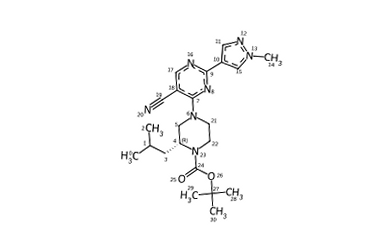 CC(C)C[C@@H]1CN(c2nc(-c3cnn(C)c3)ncc2C#N)CCN1C(=O)OC(C)(C)C